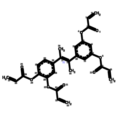 C=CC(=O)Oc1cc(OC(=O)C=C)cc(/C(C)=C(\C)c2ccc(OC(=O)C=C)c(OC(=O)C=C)c2)c1